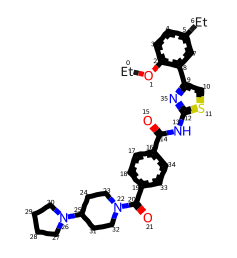 CCOc1ccc(CC)cc1-c1csc(NC(=O)c2ccc(C(=O)N3CCC(N4CCCC4)CC3)cc2)n1